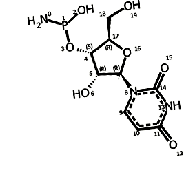 NP(O)O[C@H]1[C@@H](O)[C@H](n2ccc(=O)[nH]c2=O)O[C@@H]1CO